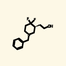 OCC[C@@H]1CN(Cc2ccccc2)CCC1(F)F